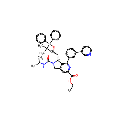 CCOC(=O)c1cc2c(c(-c3cccc(-c4cccnc4)c3)n1)[C@@H](CCO[Si](c1ccccc1)(c1ccccc1)C(C)(C)C)N(C(=O)NC(C)C)C2